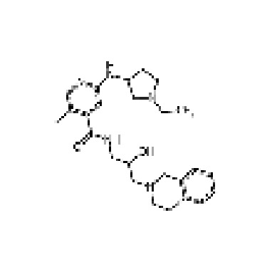 Cc1cnc(NC2CCN(CC(F)(F)F)C2)cc1C(=O)NCC(O)CN1CCc2ccccc2C1